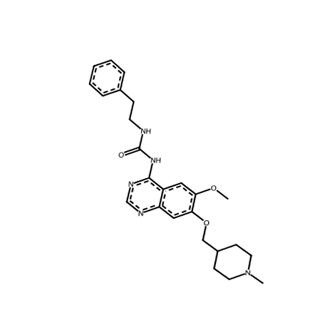 COc1cc2c(NC(=O)NCCc3ccccc3)ncnc2cc1OCC1CCN(C)CC1